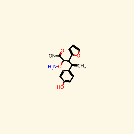 C=C(c1ccc(O)cc1)C(c1ccco1)C(ON)C(=O)N=O